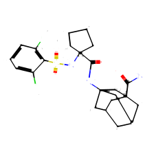 NC(=O)C12CC3CC(CC(NC(=O)C4(NS(=O)(=O)c5c(Cl)cccc5Cl)CCCC4)(C3)C1)C2